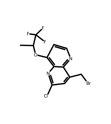 CC(Oc1ccnc2c(CBr)cc(Cl)nc12)C(F)(F)F